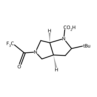 CC(C)(C)C1C[C@H]2CN(C(=O)C(F)(F)F)C[C@H]2N1C(=O)O